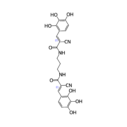 N#C/C(=C\c1ccc(O)c(O)c1O)C(=O)NCCCNC(=O)/C(C#N)=C/c1ccc(O)c(O)c1O